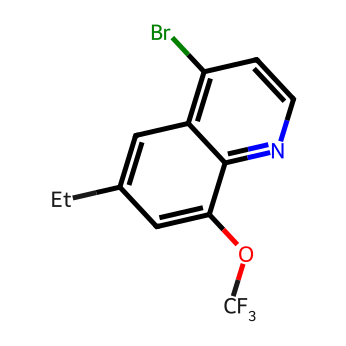 CCc1cc(OC(F)(F)F)c2nccc(Br)c2c1